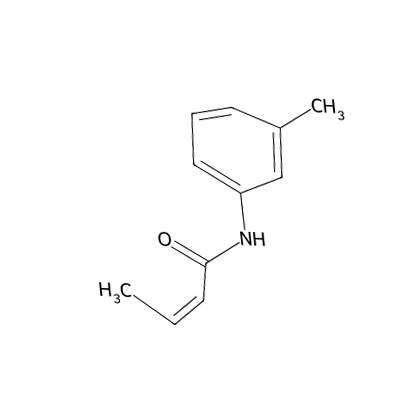 C/C=C\C(=O)Nc1cccc(C)c1